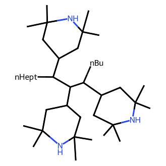 CCCCCCCC(C1CC(C)(C)NC(C)(C)C1)C(C1CC(C)(C)NC(C)(C)C1)C(CCCC)C1CC(C)(C)NC(C)(C)C1